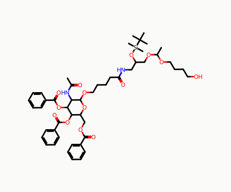 CC(=O)NC1C(OCCCCC(=O)NCC(COC(C)OCCCCO)O[Si](C)(C)C(C)(C)C)OC(COC(=O)c2ccccc2)C(OC(=O)c2ccccc2)C1OC(=O)c1ccccc1